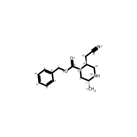 C[C@@H]1CN(C(=O)OCc2ccccc2)[C@@H](CC#N)CN1